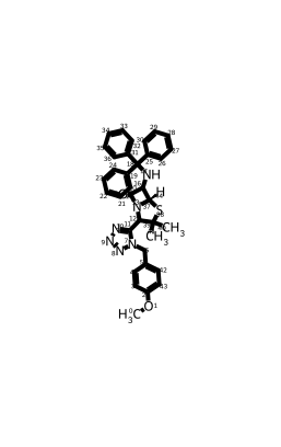 COc1ccc(Cn2nnnc2C2N3C(=O)C(NC(c4ccccc4)(c4ccccc4)c4ccccc4)[C@@H]3SC2(C)C)cc1